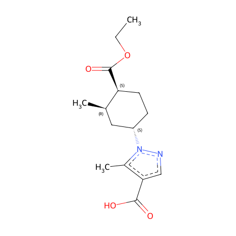 CCOC(=O)[C@H]1CC[C@H](n2ncc(C(=O)O)c2C)C[C@H]1C